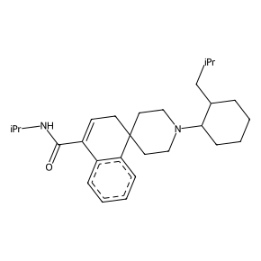 CC(C)CC1CCCCC1N1CCC2(CC=C(C(=O)NC(C)C)c3ccccc32)CC1